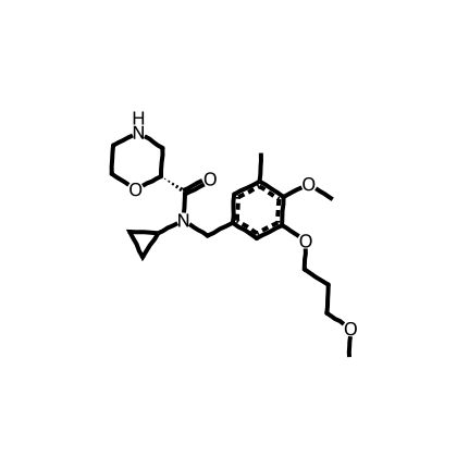 COCCCOc1cc(CN(C(=O)[C@H]2CNCCO2)C2CC2)cc(C)c1OC